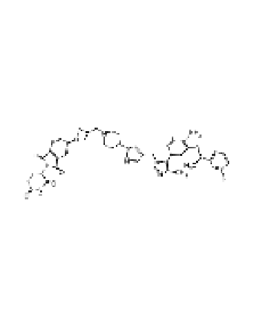 Cc1ncn(Cc2cnn(C3CCN(CC4CN(c5ccc6c(c5)C(=O)N(C5CCC(=O)NC5=O)C6=O)C4)CC3)c2)c1-c1cnc(N)c(O[C@H](C)c2cccc(F)c2)c1